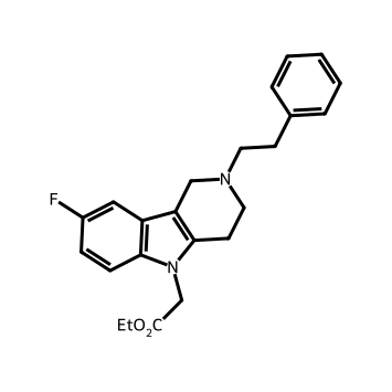 CCOC(=O)Cn1c2c(c3cc(F)ccc31)CN(CCc1ccccc1)CC2